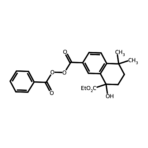 CCOC(=O)C1(O)CCC(C)(C)c2ccc(C(=O)OOC(=O)c3ccccc3)cc21